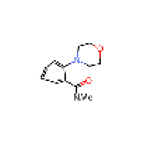 CNC(=O)c1ccccc1N1CCOCC1